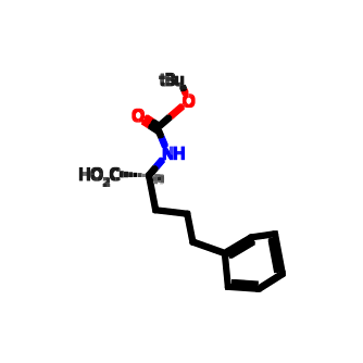 CC(C)(C)OC(=O)N[C@H](CCCc1ccccc1)C(=O)O